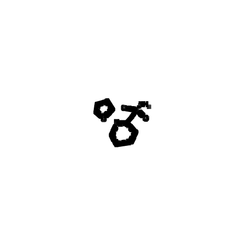 NS(=O)(=O)c1ccccn1.c1ccoc1